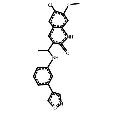 COc1cc2[nH]c(=O)c(C(C)Nc3cccc(-c4cnoc4)c3)cc2cc1Cl